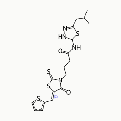 CC(C)CC1=NNC(NC(=O)CCCN2C(=O)/C(=C/c3cccs3)SC2=S)S1